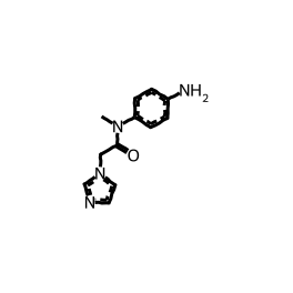 CN(C(=O)Cn1ccnc1)c1ccc(N)cc1